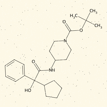 CC(C)(C)OC(=O)N1CCC(NC(=O)C(O)(c2ccccc2)C2CCCC2)CC1